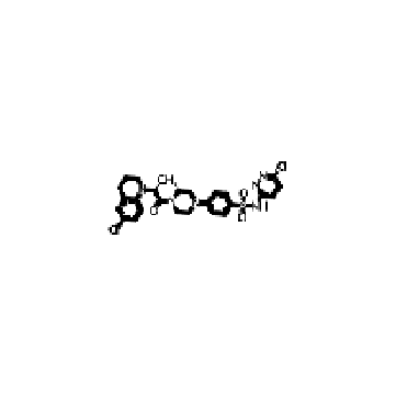 C[C@H](C(=O)N1CCN(c2ccc(S(=O)(=O)Nc3ccc(Cl)nn3)cc2)CC1)N1CCCc2cc(Cl)ccc21